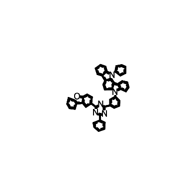 c1ccc(-c2nc(-c3cccc(-n4c5ccccc5c5c4ccc4c6ccccc6n(-c6ccccc6)c45)c3)nc(-c3ccc4oc5ccccc5c4c3)n2)cc1